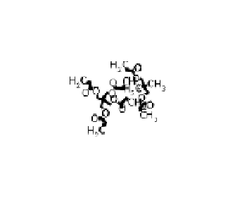 C=CC(=O)OCC(C)(C)COC(=O)C=C.C=CC(=O)OCC(COC(=O)C=C)(COC(=O)C=C)COC(=O)C=C